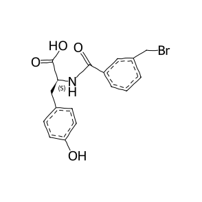 O=C(N[C@@H](Cc1ccc(O)cc1)C(=O)O)c1cccc(CBr)c1